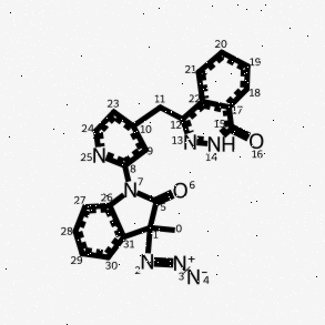 CC1(N=[N+]=[N-])C(=O)N(c2cc(Cc3n[nH]c(=O)c4ccccc34)ccn2)c2ccccc21